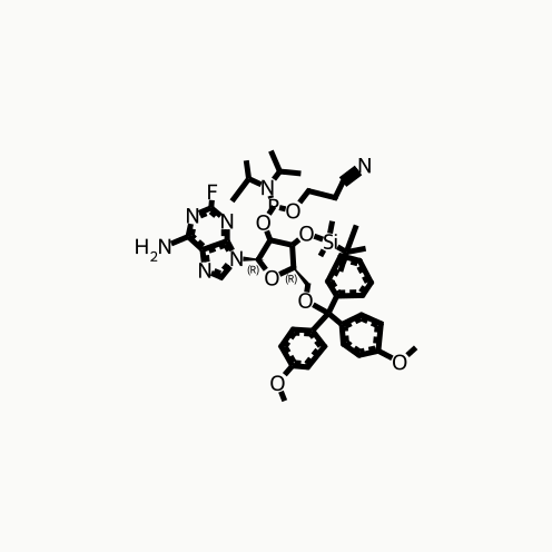 COc1ccc(C(OC[C@H]2O[C@@H](n3cnc4c(N)nc(F)nc43)C(OP(OCCC#N)N(C(C)C)C(C)C)C2O[Si](C)(C)C(C)(C)C)(c2ccccc2)c2ccc(OC)cc2)cc1